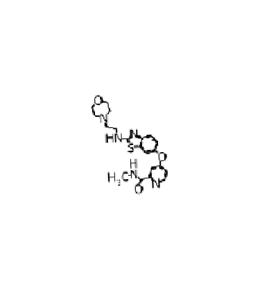 CNC(=O)c1cc(Oc2ccc3nc(NCCN4CCOCC4)sc3c2)ccn1